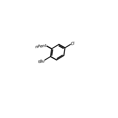 CCCCCc1cc(Cl)ccc1C(C)(C)C